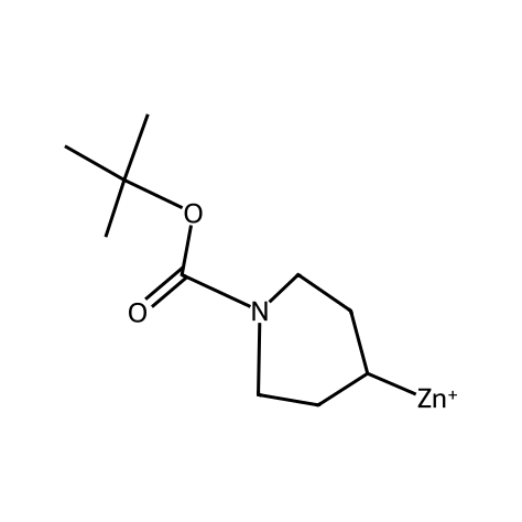 CC(C)(C)OC(=O)N1CC[CH]([Zn+])CC1